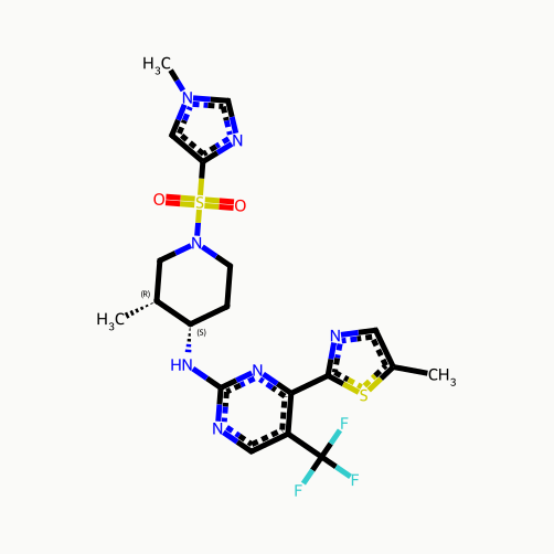 Cc1cnc(-c2nc(N[C@H]3CCN(S(=O)(=O)c4cn(C)cn4)C[C@H]3C)ncc2C(F)(F)F)s1